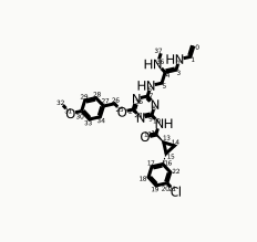 C=CN/C=C(/CNc1nc(NC(=O)[C@H]2C[C@@H]2c2cccc(Cl)c2)nc(OCc2ccc(OC)cc2)n1)NC